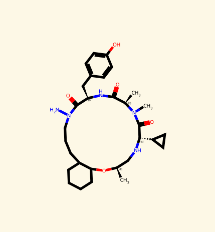 C[C@@H]1CN[C@@H](C2CC2)C(=O)N(C)[C@H](C)C(=O)N[C@H](Cc2ccc(O)cc2)C(=O)N(N)CCCC2CCCCC2O1